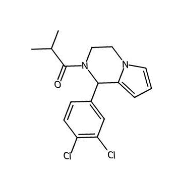 CC(C)C(=O)N1CCn2cccc2C1c1ccc(Cl)c(Cl)c1